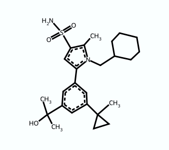 Cc1c(S(N)(=O)=O)cc(-c2cc(C(C)(C)O)cc(C3(C)CC3)c2)n1CC1CCCCC1